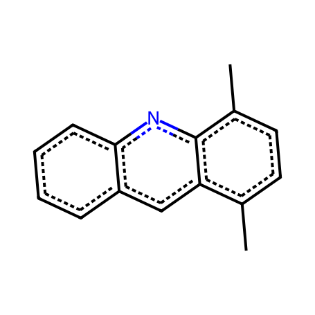 Cc1ccc(C)c2nc3ccccc3cc12